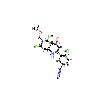 COCc1c(F)cc2[nH]c(-c3cc(C#N)ccc3Cl)cc(=O)c2c1F